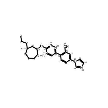 CCC[C@]1(C)CCC[C@@H](F)[C@H](Oc2ncc(-c3ccc(-n4ccnc4)cc3O)nn2)C1